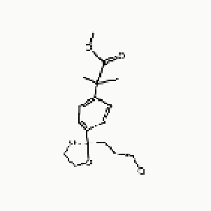 COC(=O)C(C)(C)c1ccc(C2(CCCCl)OCCO2)cc1